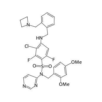 COc1ccc(CN(c2ccncn2)S(=O)(=O)c2c(F)cc(NCc3ccccc3CN3CCC3)c(Cl)c2F)c(OC)c1